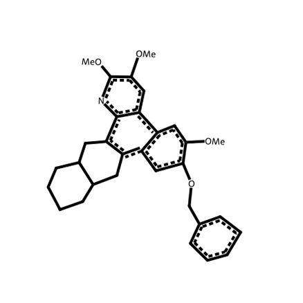 COc1cc2c(cc1OCc1ccccc1)c1c(c3nc(OC)c(OC)cc32)CC2CCCCC2C1